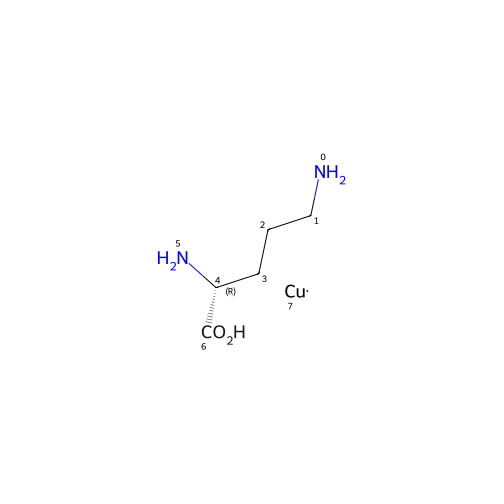 NCCC[C@@H](N)C(=O)O.[Cu]